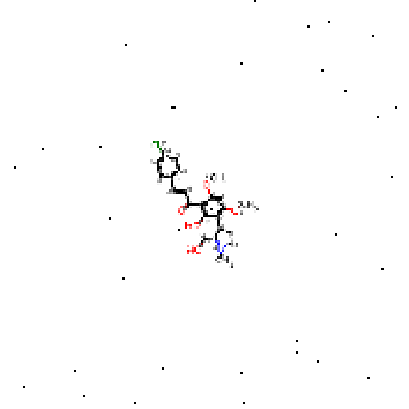 COc1cc(OC)c(C2CCN(C)C2CO)c(O)c1C(=O)C=Cc1ccc(Cl)cc1